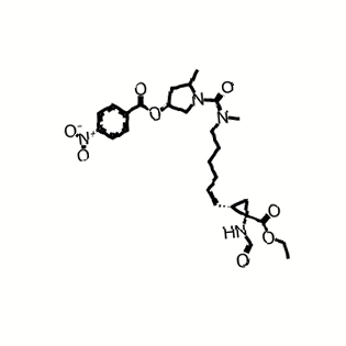 CCOC(=O)[C@@]1(NC=O)C[C@H]1/C=C\CCCCN(C)C(=O)N1C[C@@H](OC(=O)c2ccc([N+](=O)[O-])cc2)CC1C